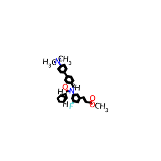 [2H][C@@H](c1ccc(-c2ccc(N(C)C)cc2)cc1)N(C(=O)[C@@H]1C[C@H]2CC[C@@H]1C2)c1cc(F)cc(/C=C/C(=O)OC)c1